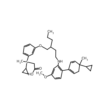 CCCC(CCNc1cc(OC)ccc1C1=CCC(C)(C2CC2)C=C1)COc1cccc(S(C)(CC(=O)O)C2CC2)c1